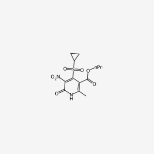 CC[CH]OC(=O)c1c(C)[nH]c(=O)c([N+](=O)[O-])c1S(=O)(=O)C1CC1